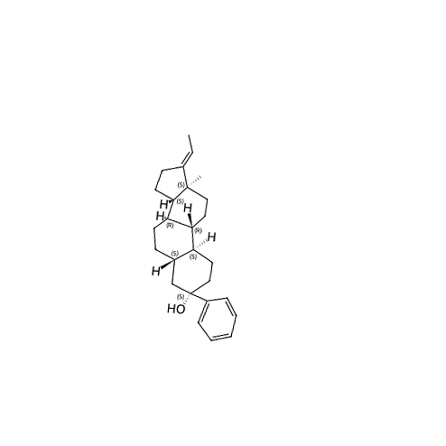 CC=C1CC[C@H]2[C@@H]3CC[C@H]4C[C@](O)(c5ccccc5)CC[C@@H]4[C@H]3CC[C@]12C